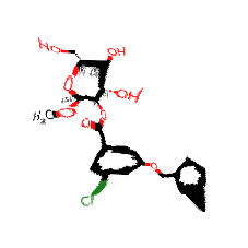 CO[C@H]1O[C@H](CO)[C@@H](O)[C@H](O)[C@H]1OC(=O)c1cc(Cl)cc(OCc2ccccc2)c1